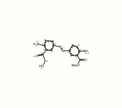 COC(=O)c1cc(/N=N/c2ccc(N)c(C(=O)CO)c2)ccc1N